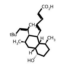 C/C(=C/C(C)(C)C)[C@H]1[C@@H](/C=C/C=C/C(=O)O)[C@H]2[C@@H](C[C@H]1C)[C@@H](O)CC[C@@H]2C